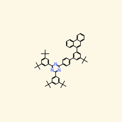 CC(C)(C)c1cc(-c2ccc(-c3nc(-c4cc(C(C)(C)C)cc(C(C)(C)C)c4)nc(-c4cc(C(C)(C)C)cc(C(C)(C)C)c4)n3)cc2)cc(-c2cc3ccccc3c3ccccc23)c1